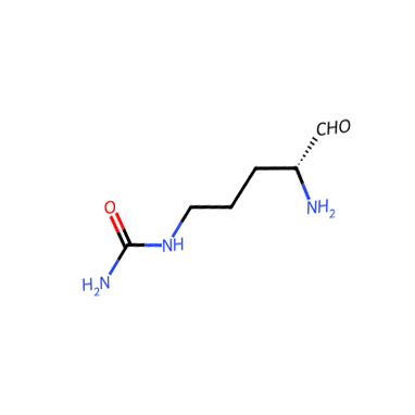 NC(=O)NCCC[C@@H](N)C=O